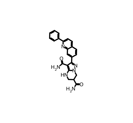 NC(=O)c1c(-c2ccc3ccc(-c4ccccc4)nc3c2)nn2c1NCC(C(N)=O)C2